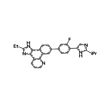 CCc1nc2c3cccnc3c3cc(-c4ccc(-c5cnc(C(C)C)[nH]5)c(F)c4)ccc3c2[nH]1